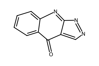 O=C1C2=CN=NC2=Nc2ccccc21